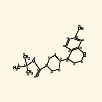 CC(C)(C)OC(=O)C1CCC(N2CCOc3cc(O)ccc32)CC1